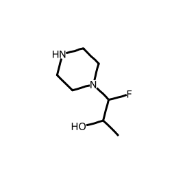 CC(O)C(F)N1CCNCC1